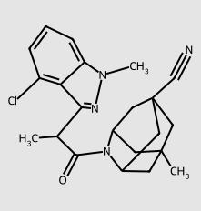 CC(C(=O)N1C2CC3(C)CC1CC(C#N)(C2)C3)c1nn(C)c2cccc(Cl)c12